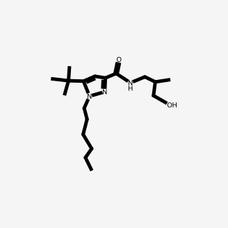 CCCCCCn1nc(C(=O)NCC(C)CO)cc1C(C)(C)C